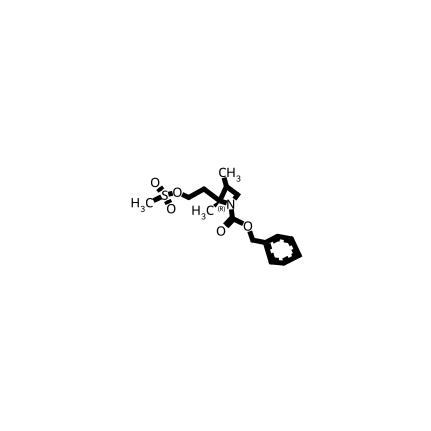 CC1CN(C(=O)OCc2ccccc2)[C@]1(C)CCOS(C)(=O)=O